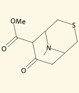 COC(=O)C1C(=O)CC2CSCC1N2C